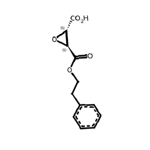 O=C(O)[C@H]1O[C@@H]1C(=O)OCCc1ccccc1